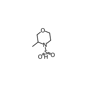 CC1COCCN1[SH](=O)=O